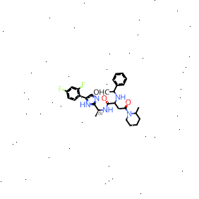 CC1CCCCN1C(=O)CC(NC(C=O)c1ccccc1)C(=O)N[C@@H](C)c1ncc(-c2ccc(F)cc2F)[nH]1